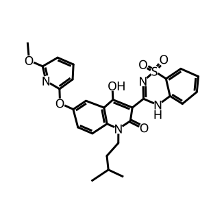 COc1cccc(Oc2ccc3c(c2)c(O)c(C2=NS(=O)(=O)c4ccccc4N2)c(=O)n3CCC(C)C)n1